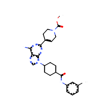 COc1cccc(NC(=O)C2CCC(n3cnc4c(N)nc(C5=CCN(C(=O)OC(C)(C)C)CC5)nc43)CC2)c1